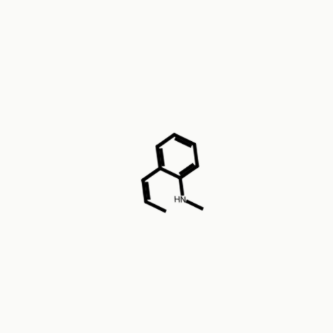 C/C=C\c1ccccc1NC